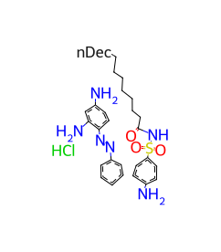 CCCCCCCCCCCCCCCCCC(=O)NS(=O)(=O)c1ccc(N)cc1.Cl.Nc1ccc(/N=N/c2ccccc2)c(N)c1